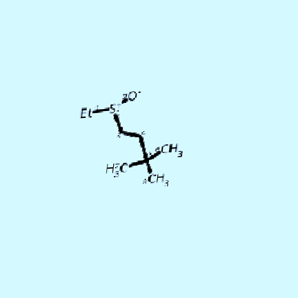 CC[S+]([O-])CCC(C)(C)C